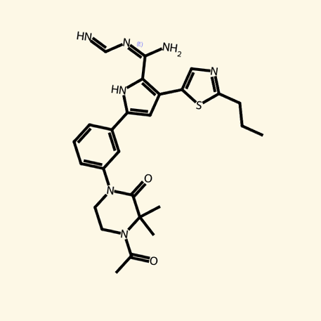 CCCc1ncc(-c2cc(-c3cccc(N4CCN(C(C)=O)C(C)(C)C4=O)c3)[nH]c2/C(N)=N\C=N)s1